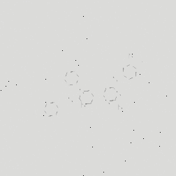 COc1ccc(CN(Cc2ccc(OC)cc2)c2ncc(-c3nc(N4CCOCC4)nc4c3CCN4c3cccc(N)c3)cn2)cc1